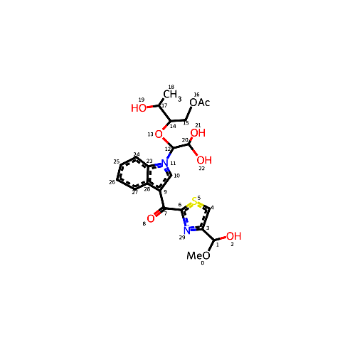 COC(O)c1csc(C(=O)c2cn(C(OC(COC(C)=O)C(C)O)C(O)O)c3ccccc23)n1